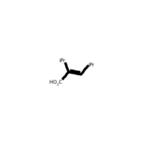 CC(C)/C=C(/C(=O)O)C(C)C